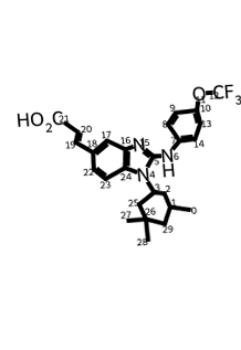 CC1CC(n2c(Nc3ccc(OC(F)(F)F)cc3)nc3cc(C=CC(=O)O)ccc32)CC(C)(C)C1